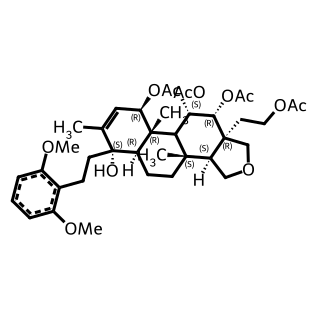 COc1cccc(OC)c1CC[C@@]1(O)C(C)=C[C@@H](OC(C)=O)[C@]2(C)C3[C@H](OC(C)=O)[C@H](OC(C)=O)[C@@]4(CCOC(C)=O)COC[C@H]4[C@]3(C)CC[C@H]21